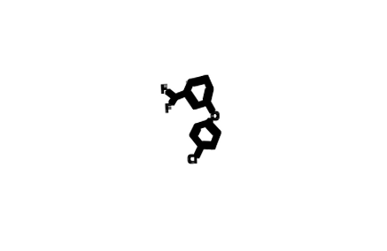 FC(F)c1[c]ccc(Oc2ccc(Cl)cc2)c1